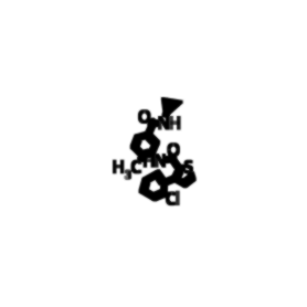 Cc1ccc(C(=O)NC2CC2)cc1NC(=O)c1sccc1-c1ccccc1Cl